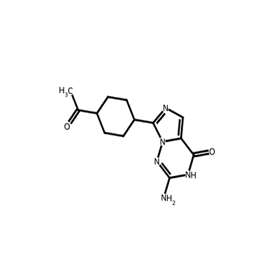 CC(=O)C1CCC(c2ncc3c(=O)[nH]c(N)nn23)CC1